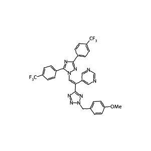 COc1ccc(Cn2nnc(/C(=C/n3nc(-c4ccc(C(F)(F)F)cc4)nc3-c3ccc(C(F)(F)F)cc3)c3cncnc3)n2)cc1